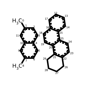 Cc1ccc2ccc(C)cc2c1.c1ccc2c(c1)ccc1c3c(ccc12)CCCC3